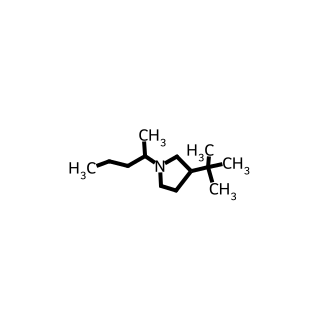 CCCC(C)N1CCC(C(C)(C)C)C1